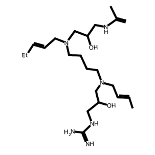 C=C(C)NCC(O)CN(CC=CCC)CCCCN(CC=CC)CC(O)CNC(=N)N